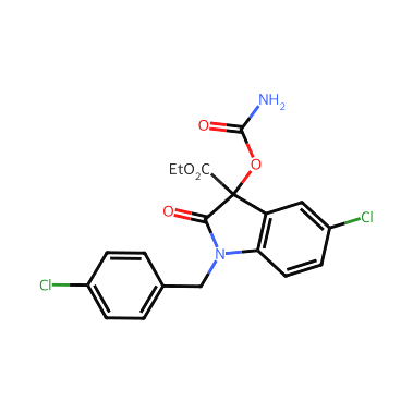 CCOC(=O)C1(OC(N)=O)C(=O)N(Cc2ccc(Cl)cc2)c2ccc(Cl)cc21